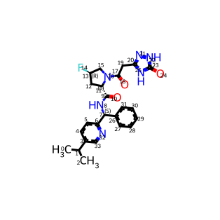 CC(C)c1ccc([C@@H](NC(=O)[C@@H]2C[C@@H](F)CN2C(=O)Cc2n[nH]c(=O)[nH]2)c2ccccc2)nc1